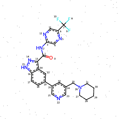 O=C(Nc1cnc(C(F)(F)F)cn1)c1n[nH]c2ccc(-c3cncc(CN4CCCCC4)c3)cc12